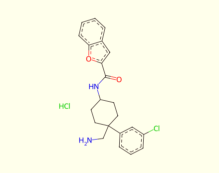 Cl.NCC1(c2cccc(Cl)c2)CCC(NC(=O)c2cc3ccccc3o2)CC1